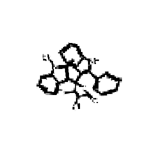 CCn1c(C)c(C2(c3c(-c4ccccc4)[nH]c4ccccc34)OC(=O)C(Cl)=C2Cl)c2ccccc21